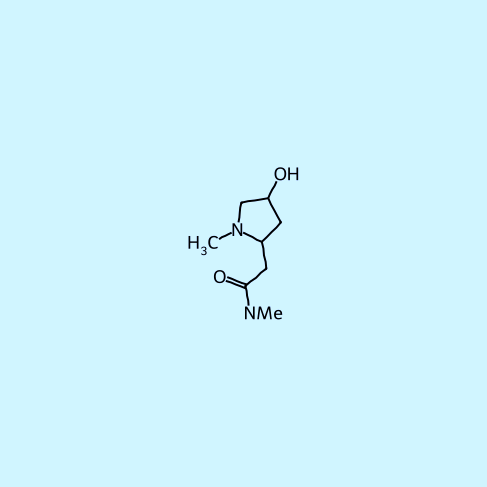 CNC(=O)CC1CC(O)CN1C